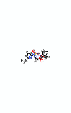 NC(=O)C12CC3CC(C1)C(NC(=O)C1CC1N(c1cccc(C(F)(F)F)n1)[SH](=O)=O)C(C3)C2